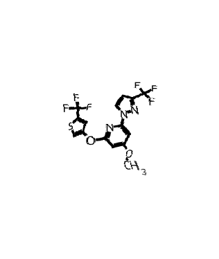 COc1cc(Oc2csc(C(F)(F)F)c2)nc(-n2ccc(C(F)(F)F)n2)c1